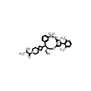 Cc1cccc(C)c1-c1cc2nc(n1)NS(=O)(=O)c1cccc(c1)C(C1CC3(CCN(C(=O)[C@H](C)O)CC3)C1)[C@H](CC(C)C)CO2